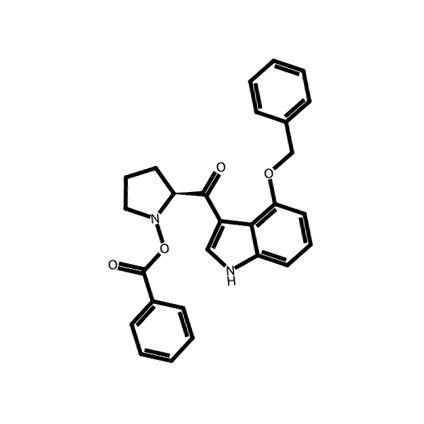 O=C(ON1CCC[C@H]1C(=O)c1c[nH]c2cccc(OCc3ccccc3)c12)c1ccccc1